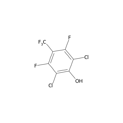 Oc1c(Cl)c(F)c(C(F)(F)F)c(F)c1Cl